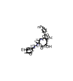 CCCN1CCN(C(=O)OC2/C=C/[C@H](C)[C@@H](/C(C)=C/C=C/[C@](C)(O)C[C@H]3O[C@@H]3[C@H](C)[C@@H](O)CC)OC(=O)C[C@H](O)CC[C@@]2(C)OC(C)=O)CC1